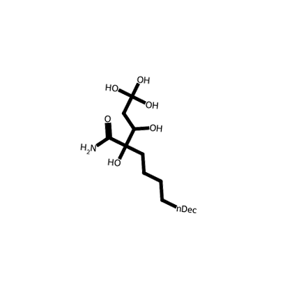 CCCCCCCCCCCCCCC(O)(C(N)=O)C(O)CC(O)(O)O